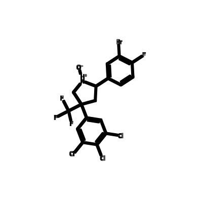 [O-][NH+]1CC(c2cc(Cl)c(Cl)c(Cl)c2)(C(F)(F)F)CC1c1ccc(F)c(Br)c1